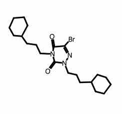 O=c1c(Br)nn(CCCC2CCCCC2)c(=O)n1CCCC1CCCCC1